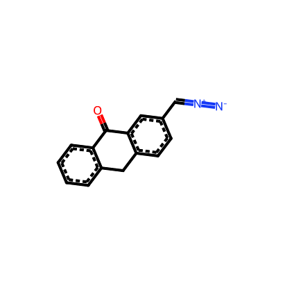 [N-]=[N+]=Cc1ccc2c(c1)C(=O)c1ccccc1C2